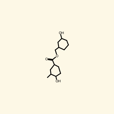 CC1CC(C(=O)OCC2CCCC(O)C2)CCC1O